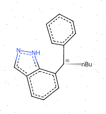 CCCC[C@@H](c1ccccc1)c1cccc2cn[nH]c12